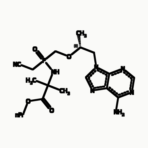 CCCOC(=O)C(C)(C)NP(=O)(CC#N)CO[C@H](C)Cn1cnc2c(N)ncnc21